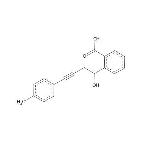 CC(=O)c1ccccc1C(O)CC#Cc1ccc(C)cc1